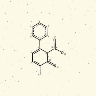 CC1=CC=C(c2ccccc2)C([N+](=O)[O-])C1=S